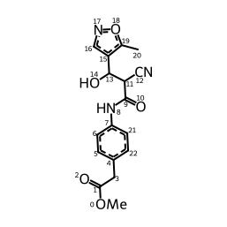 COC(=O)Cc1ccc(NC(=O)C(C#N)C(O)c2cnoc2C)cc1